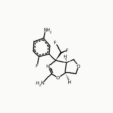 NC1=N[C@@](c2cc(N)ccc2F)(C(F)F)[C@H]2COC[C@H]2O1